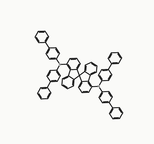 c1ccc(-c2ccc(N(c3ccc(-c4ccccc4)cc3)c3cccc4c3-c3ccccc3C43c4ccccc4-c4c(N(c5ccc(-c6ccccc6)cc5)c5ccc(-c6ccccc6)cc5)cccc43)cc2)cc1